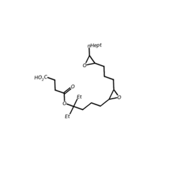 CCCCCCCC1OC1CCCC1OC1CCCC(CC)(CC)OC(=O)CCC(=O)O